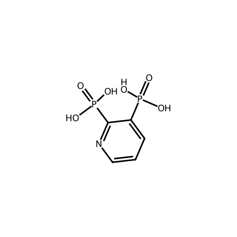 O=P(O)(O)c1cccnc1P(=O)(O)O